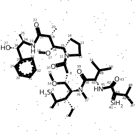 CC[C@H](C(C)[SiH3])[C@@H]([C@@H](CC(=O)N1CCC[C@H]1[C@H](OC)[C@@H](C)C(=O)N[C@H](C)[C@@H](O)c1ccccc1)OC)N(C)C(=O)[C@@H](NC(=O)C(=[SiH2])C(C)C)C(C)C